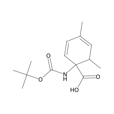 CC1=CC(C)C(NC(=O)OC(C)(C)C)(C(=O)O)C=C1